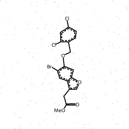 COC(=O)Cc1coc2cc(OCc3ccc(Cl)cc3Cl)c(Br)cc12